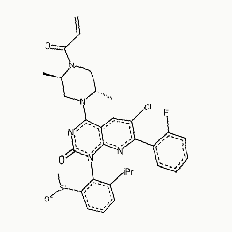 C=CC(=O)N1C[C@H](C)N(c2nc(=O)n(-c3c(C(C)C)cccc3[S+](C)[O-])c3nc(-c4ccccc4F)c(Cl)cc23)C[C@H]1C